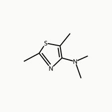 Cc1nc(N(C)C)c(C)s1